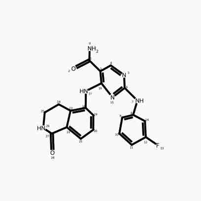 NC(=O)c1cnc(Nc2cccc(F)c2)nc1Nc1cccc2c1CCNC2=O